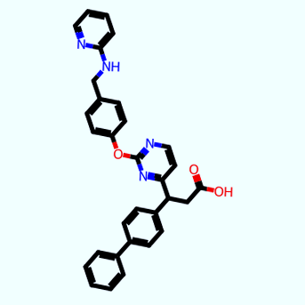 O=C(O)CC(c1ccc(-c2ccccc2)cc1)c1ccnc(Oc2ccc(CNc3ccccn3)cc2)n1